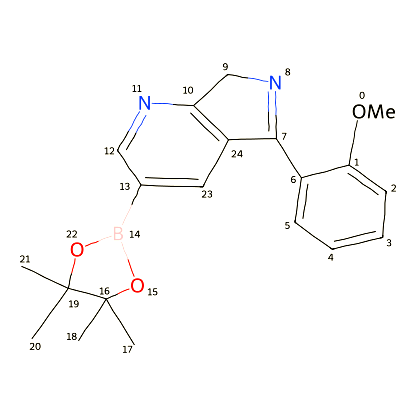 COc1ccccc1C1=NCc2ncc(B3OC(C)(C)C(C)(C)O3)cc21